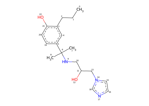 CCCc1cc(C(C)(C)NCC(O)Cn2ccnc2)ccc1O